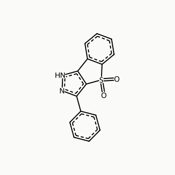 O=S1(=O)c2ccccc2-c2[nH]nc(-c3ccccc3)c21